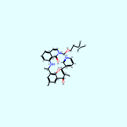 Cc1cc(C(C)Nc2cccc3ccn(COCC[Si](C)(C)C)c(=O)c23)c2oc(-c3cccnc3)c(C)c(=O)c2c1